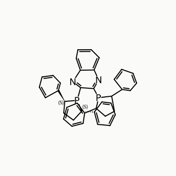 c1ccc(C2CCC(c3ccccc3)P2c2nc3ccccc3nc2P2[C@H](c3ccccc3)CC[C@H]2c2ccccc2)cc1